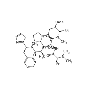 CC[C@H](C)[C@@H]([C@@H](CC(=O)N1CCC[C@H]1[C@H](OC)[C@@H](C)C(=O)N(C)[C@@H](Cc1ccccc1)c1nccs1)OC)N(C)C(=O)[C@@H](NC(=O)[C@H](C(C)C)N(C)C)C(C)C